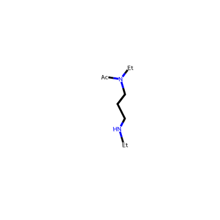 CCNCCCN(CC)C(C)=O